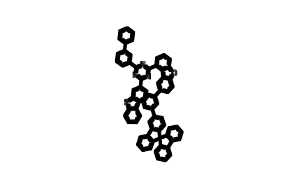 c1ccc(-c2cccc(-c3nc(-c4ccc5c(c4)sc4ccccc45)nc(-c4cccc5oc6ccc(-c7cccc(-c8ccc9c(c8)-c8ccccc8C98c9ccccc9-c9ccccc98)c7)cc6c45)n3)c2)cc1